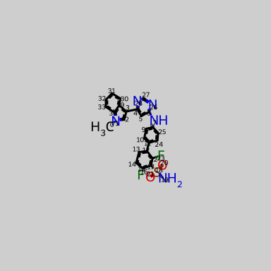 Cn1cc(-c2cc(Nc3ccc(-c4ccc(F)c(S(N)(=O)=O)c4F)cc3)ncn2)c2ccccc21